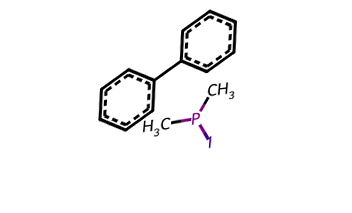 CP(C)I.c1ccc(-c2ccccc2)cc1